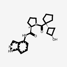 O=C(Nc1cccc2[nH]ncc12)[C@H]1CCCN1C(=O)C1([C@H]2C[C@@H](O)C2)CCCC1